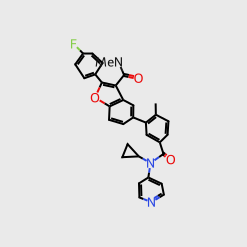 CNC(=O)c1c(-c2ccc(F)cc2)oc2ccc(-c3cc(C(=O)N(c4ccncc4)C4CC4)ccc3C)cc12